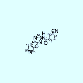 N#Cc1cccc(C(=O)Nc2cncc(Oc3cccnc3)n2)c1